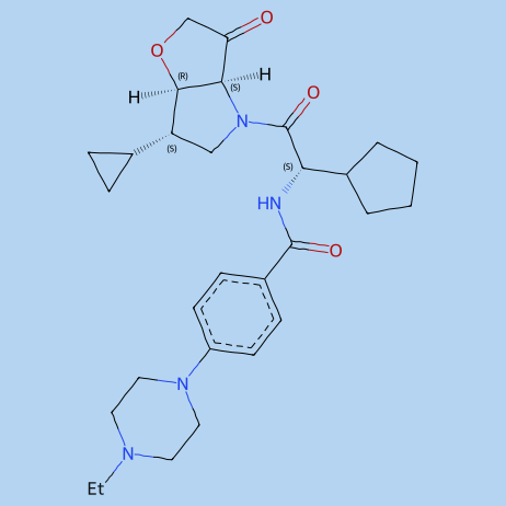 CCN1CCN(c2ccc(C(=O)N[C@H](C(=O)N3C[C@H](C4CC4)[C@H]4OCC(=O)[C@H]43)C3CCCC3)cc2)CC1